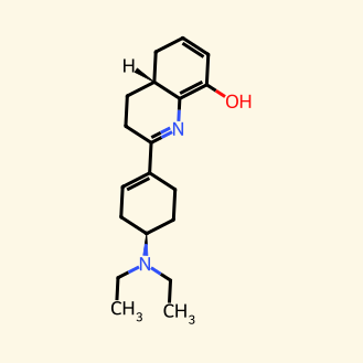 CCN(CC)[C@H]1CC=C(C2=NC3=C(O)C=CC[C@H]3CC2)CC1